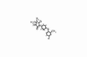 Cc1cc(F)ccc1Oc1ccc(N2C(=O)NC(C)(C)C2=O)cn1